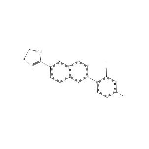 Clc1ccc(-c2ccc3cc(C4=NCCN4)ccc3c2)c(Cl)c1